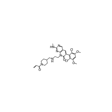 C=CC(=O)N1CCC(CNCCn2c(=O)c(-c3c(Cl)c(OC)cc(OC)c3Cl)cc3cnc(NC)nc32)CC1